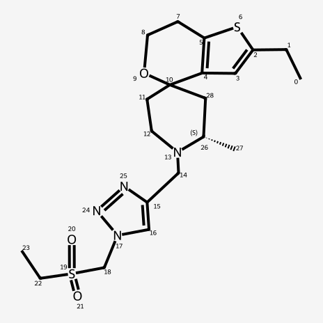 CCc1cc2c(s1)CCOC21CCN(Cc2cn(CS(=O)(=O)CC)nn2)[C@@H](C)C1